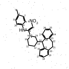 Cc1ccc(NC(=C[N+](=O)[O-])N2CCCC(C3c4ccccc4CCc4ccccc43)C2)cc1